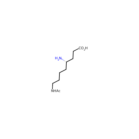 CC(=O)NCCCC[C@H](N)CCC(=O)O